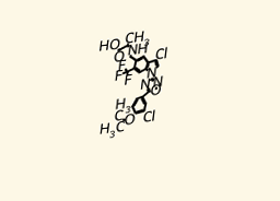 CC(C)Oc1ccc(-c2nc(-n3cc(Cl)c4cc(CNC(C)C(=O)O)c(C(F)(F)F)cc43)no2)cc1Cl